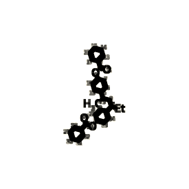 CCC(CC(C)c1ccc(OC(=O)c2ccccc2)cc1)c1ccc(OC(=O)c2ccccc2)cc1